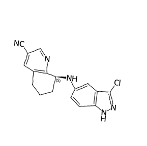 N#Cc1cnc2c(c1)CCC[C@@H]2Nc1ccc2[nH]nc(Cl)c2c1